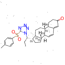 CCC([C@H]1CC[C@H]2[C@@H]3C=CC4=CC(=O)CC[C@]4(C)[C@H]3CC[C@]12C)n1nnnc1S(=O)(=O)c1ccc(C)cc1